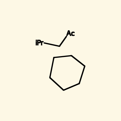 C1CCCCC1.CC(=O)CC(C)C